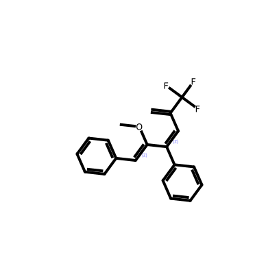 C=C(/C=C(\C(=C\c1ccccc1)OC)c1ccccc1)C(F)(F)F